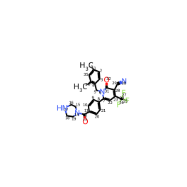 Cc1ccc(Cn2c(-c3ccc(C(=O)N4CCNCC4)cc3)cc(C(F)(F)F)c(C#N)c2=O)c(C)c1